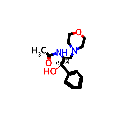 CC(=O)N[C@@H](CN1CCOCC1)[C@@H](O)c1ccccc1